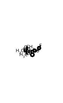 CSc1cc(C)nc(S(C)(=O)=O)c1NC(=O)N(Cc1ccc(Oc2ccc(F)cc2)cc1)C1CCCCCC1